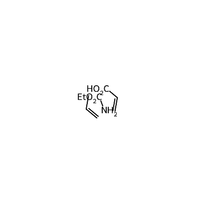 C=CC.C=CC(=O)O.CCOC(N)=O